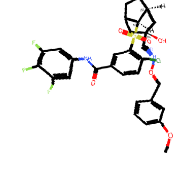 COc1cccc(CO/N=C/[C@]2(O)CC3CC[C@@H](C2)[C@H]3S(=O)(=O)c2cc(C(=O)Nc3cc(F)c(F)c(F)c3)ccc2Cl)c1